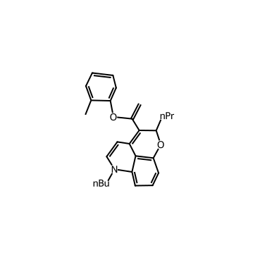 C=C(Oc1ccccc1C)C1=C2C=CN(CCCC)c3cccc(c32)OC1CCC